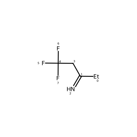 CCC(=N)CC(F)(F)F